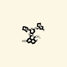 CCc1c(F)ccc2cc(O)cc(-c3nc4c(N5CC6CCC(C5)N6)nc(OC[C@@]56CCCN5CC(F)C6)cc4s3)c12